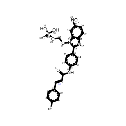 O=C(/C=C/c1ccc(F)cc1)Nc1ccc(-c2nc3ccc([N+](=O)[O-])cc3n2OCOP(=O)(O)O)cc1